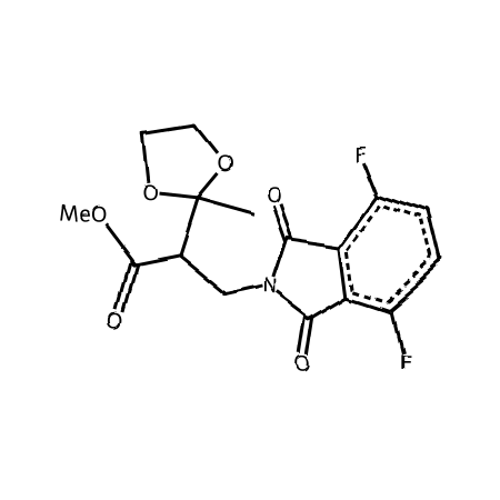 COC(=O)C(CN1C(=O)c2c(F)ccc(F)c2C1=O)C1(C)OCCO1